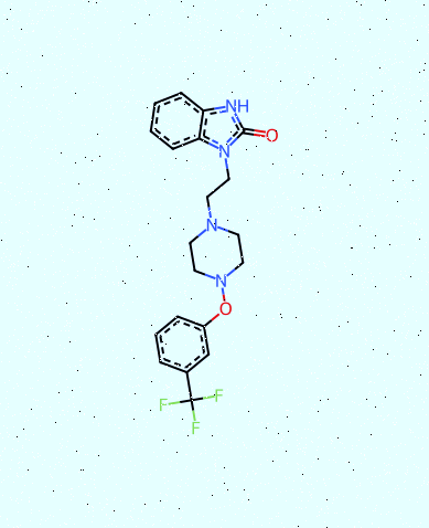 O=c1[nH]c2ccccc2n1CCN1CCN(Oc2cccc(C(F)(F)F)c2)CC1